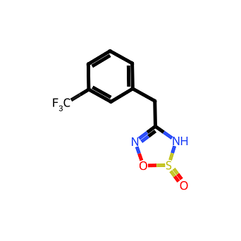 O=S1NC(Cc2cccc(C(F)(F)F)c2)=NO1